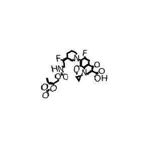 COc1c(N2CCC/C(=C(\F)CNC(=O)OCc3oc(=O)oc3C)C2)c(F)cc2c(=O)c(C(=O)O)cn(C3CC3)c12